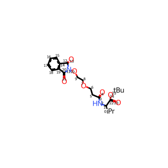 CC(C)C(NC(=O)CCOCCON1C(=O)c2ccccc2C1=O)C(=O)OC(C)(C)C